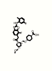 COC[C@H]1C[C@@H](CO[C@H]2CC[C@H](C(=O)O)CC2)N(C(=O)Cc2ccc3nc(Nc4cc(F)ccc4C)oc3c2F)C1